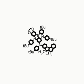 CC(C)(C)c1ccc(N(c2cc3c4c(c2)N(c2ccc(C(C)(C)C)cc2)c2cc5c(cc2B4c2cc(C(C)(C)C)ccc2N3c2ccc(C(C)(C)C)cc2)OCCO5)c2ccc3c(c2)C(C)(C)c2ccc4ccccc4c2-3)cc1